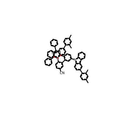 Cc1ccc(-c2ccc3c(c2)c2ccccc2n3-c2ccc(-c3nc(-c4ccccc4)nc(-c4ccccc4)n3)c(-c3cc(C#N)ccc3-n3c4ccccc4c4cc(-c5ccc(C)cc5C)ccc43)c2)c(C)c1